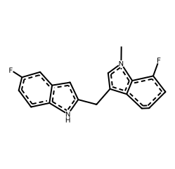 Cn1cc(Cc2cc3cc(F)ccc3[nH]2)c2cccc(F)c21